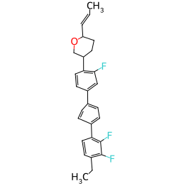 C/C=C/C1CCC(c2ccc(-c3ccc(-c4ccc(CC)c(F)c4F)cc3)cc2F)CO1